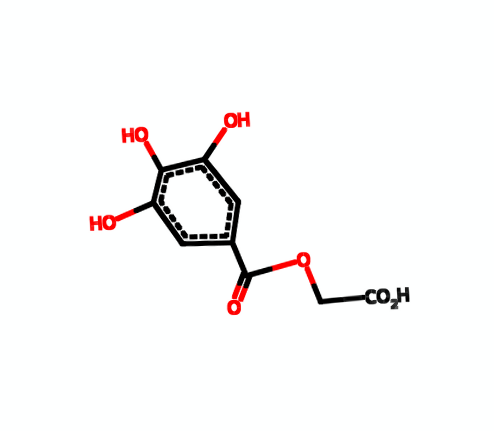 O=C(O)COC(=O)c1cc(O)c(O)c(O)c1